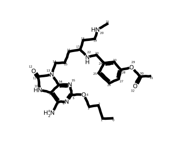 CCCCOc1nc(N)c2[nH]c(=O)n(CCCC(CCNC)NCc3cccc(OC(C)=O)c3)c2n1